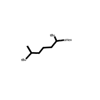 [CH2]C(CCCC(CCCCCC)C(C)(C)C)C(C)(C)C